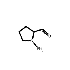 O=CC1CCCN1P